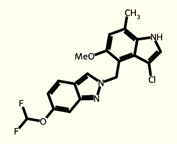 COc1cc(C)c2[nH]cc(Cl)c2c1Cn1cc2ccc(OC(F)F)cc2n1